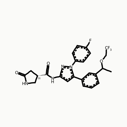 CC(OCC(F)(F)F)c1cccc(-c2cc(NC(=O)[C@@H]3CNC(=O)C3)nn2-c2ccc(F)cc2)c1